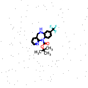 CC(C)(C)OC(=O)N1c2ccc(C(F)(F)F)cc2NCc2cccnc21